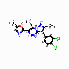 Cc1cnc(-c2nnc3c(-c4ccc(Cl)c(Cl)c4)c(C)nn3c2C)o1